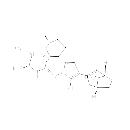 C=N/C(=N\n1c(C)c(C2=C[C@@H]3CC[C@H](C2)N3C)cc1[C@H]1CC[C@H](O)CC1)N[C@@H](C)COC